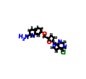 Nc1ccc2ccc(OCC3CCC(n4ccc5c(Cl)ncnc54)O3)cc2n1